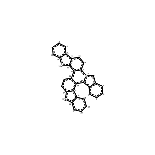 c1ccc2c(c1)cn1c3ccc4c5ccccc5sc4c3c3ccc4sc5ccccc5c4c3c21